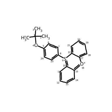 CC(C)(C)Oc1ccc(S2=c3ccccc3=[O+]c3ccccc32)cc1